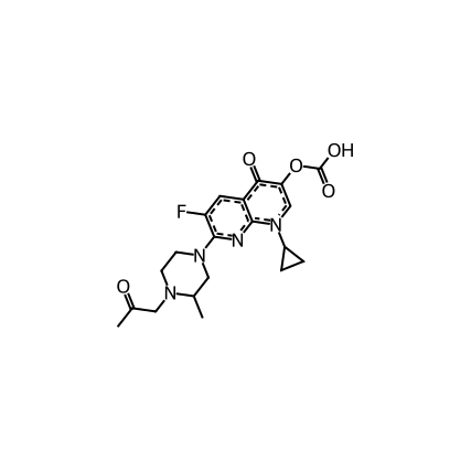 CC(=O)CN1CCN(c2nc3c(cc2F)c(=O)c(OC(=O)O)cn3C2CC2)CC1C